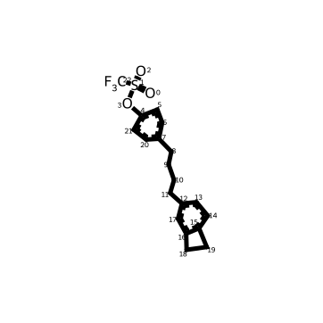 O=S(=O)(Oc1ccc(CCCCc2ccc3c(c2)CC3)cc1)C(F)(F)F